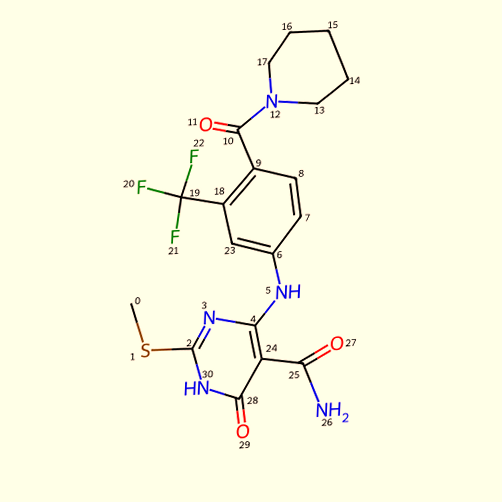 CSc1nc(Nc2ccc(C(=O)N3CCCCC3)c(C(F)(F)F)c2)c(C(N)=O)c(=O)[nH]1